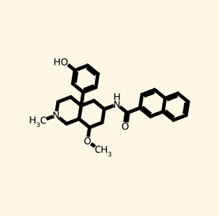 COC1CC(NC(=O)c2ccc3ccccc3c2)CC2(c3cccc(O)c3)CCN(C)CC12